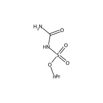 CCCOS(=O)(=O)NC(N)=O